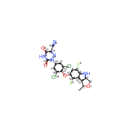 CC1OCc2[nH]c3c(F)cc(Oc4c(Cl)cc(-n5nc(C#N)c(=O)[nH]c5=O)cc4Cl)c(F)c3c21